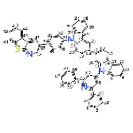 c1ccc(-c2cc(-n3c4ccccc4c4ccc(-c5ccc6c(c5)c5ccccc5n6-c5ccc(-c6cnc7sc8ccccc8c7c6)cc5)cc43)cc(-c3ccccc3)n2)cc1